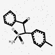 Cc1ccc(C(C(=O)c2ccccc2)S(N)(=O)=O)cc1